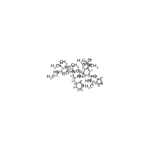 CCNC(=O)[C@@H](NC(=O)[C@H](C)NC[C@H](Cc1cccnc1)NC(=O)c1cc(C(=O)NC(C)c2ccsc2)cc(N(C)S(C)(=O)=O)c1)C(C)C